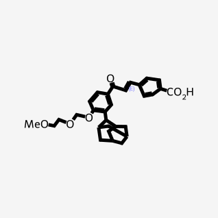 COCCOCOc1ccc(C(=O)/C=C/c2ccc(C(=O)O)cc2)cc1C1C2CC3CC(C2)CC1C3